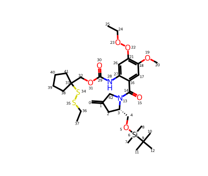 C=C1C[C@@H](CO[Si](C)(C)C(C)(C)C)N(C(=O)c2cc(OC)c(OOCC)cc2NC(=O)OCC2(SSCC)CCCC2)C1